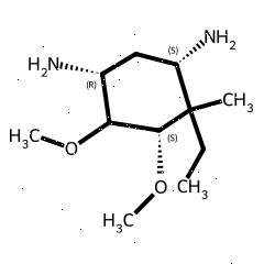 CCC1(C)[C@H](OC)C(OC)[C@H](N)C[C@@H]1N